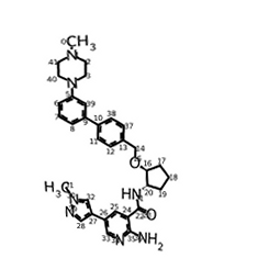 CN1CCN(c2cccc(-c3ccc(CO[C@H]4CCC[C@@H]4NC(=O)c4cc(-c5cnn(C)c5)cnc4N)cc3)c2)CC1